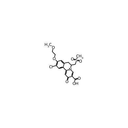 COCCOc1cc2c(cc1Cl)-c1cc(=O)c(C(=O)O)cn1C(CS(C)(=O)=O)C2